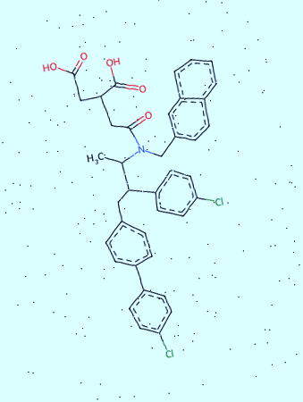 CC(C(Cc1ccc(-c2ccc(Cl)cc2)cc1)c1ccc(Cl)cc1)N(Cc1ccc2ccccc2c1)C(=O)CC(CC(=O)O)C(=O)O